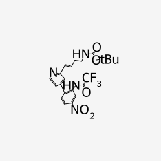 CC(C)(C)OC(=O)NCCC=Cc1cc(-c2ccc([N+](=O)[O-])cc2NC(=O)C(F)(F)F)ccn1